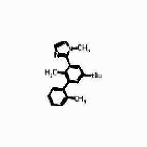 Cc1ccccc1-c1cc(C(C)(C)C)cc(-c2nccn2C)c1C